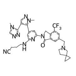 Cn1cnnc1-c1cnn(C)c1-c1cc(NCCCC#N)nc(N2Cc3c(cc(CN4CCC5(CC5)C4)cc3C(F)(F)F)C2=O)c1